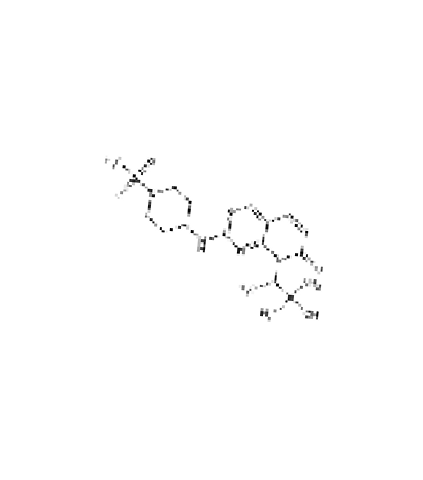 CC(n1c(=O)ccc2cnc(NC3CCN(S(C)(=O)=O)CC3)nc21)C(C)(C)O